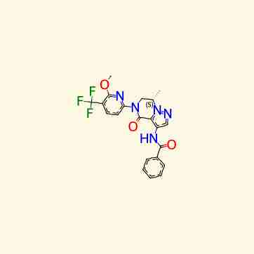 COc1nc(N2C[C@H](C)n3ncc(NC(=O)c4ccccc4)c3C2=O)ccc1C(F)(F)F